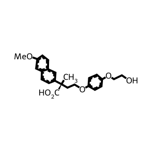 COc1ccc2cc([C@](C)(CCOc3ccc(OCCO)cc3)C(=O)O)ccc2c1